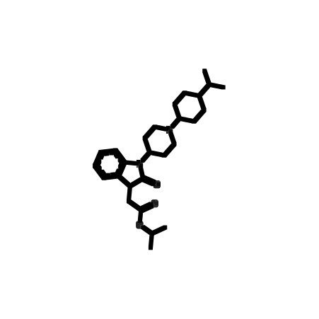 CC(C)OC(=O)CC1C(=O)N(C2CCN(C3CCC(C(C)C)CC3)CC2)c2ccccc21